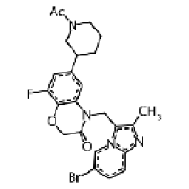 CC(=O)N1CCCC(c2cc(F)c3c(c2)N(Cc2c(C)nc4ccc(Br)cn24)C(=O)CO3)C1